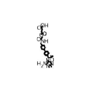 Cc1nc(N)c2c(n1)OC(C)(C)C(c1ccc(C3CCC(CNC(=O)COC(=O)CCC(=O)O)CC3)cc1)=N2